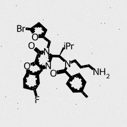 Cc1ccc(C(=O)N(CCCN)[C@@H](c2nc3c(oc4ccc(F)cc43)c(=O)n2Cc2ccc(Br)o2)C(C)C)cc1